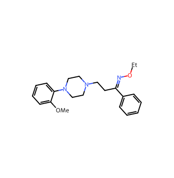 CCON=C(CCN1CCN(c2ccccc2OC)CC1)c1ccccc1